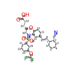 N#Cc1ccccc1/C=C/c1ccc2c(c1)N(S(=O)(=O)c1cccc(OC(F)F)c1)C[C@H](CCC(=O)O)O2